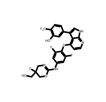 OCC1(F)CN=C(Nc2cc(F)c(Oc3ccnc4[nH]cc(-c5ccc(C(F)(F)F)c(O)c5)c34)c(F)c2)OC1